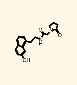 O=C(CN1CCCC1=O)NCCc1cccc2ccc(O)cc12